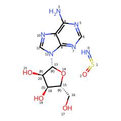 N=S=O.Nc1ncnc2c1ncn2[C@@H]1O[C@H](CO)[C@@H](O)[C@H]1O